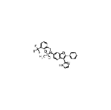 CS(=O)(=O)N(Cc1cccc(C(F)(F)F)c1)c1ccc2c(-c3ncc[nH]3)c(-c3ccccc3)oc2c1